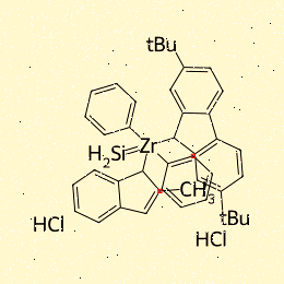 CC1=Cc2ccccc2[CH]1[Zr](=[SiH2])([c]1ccccc1)([c]1ccccc1)[CH]1c2cc(C(C)(C)C)ccc2-c2ccc(C(C)(C)C)cc21.Cl.Cl